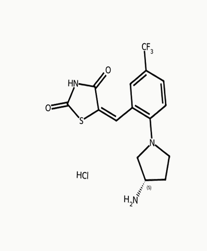 Cl.N[C@H]1CCN(c2ccc(C(F)(F)F)cc2C=C2SC(=O)NC2=O)C1